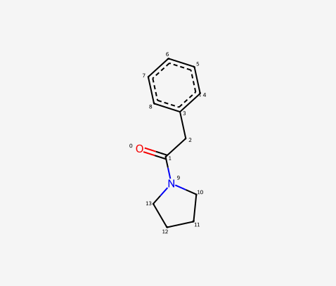 O=C(Cc1[c]cccc1)N1CCCC1